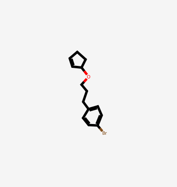 Brc1ccc(CCCOC2C=CCC2)cc1